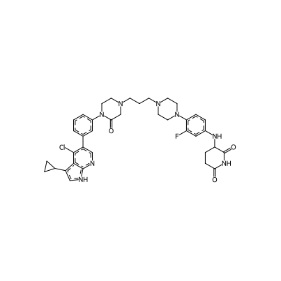 O=C1CCC(Nc2ccc(N3CCN(CCCN4CCN(c5cccc(-c6cnc7[nH]cc(C8CC8)c7c6Cl)c5)C(=O)C4)CC3)c(F)c2)C(=O)N1